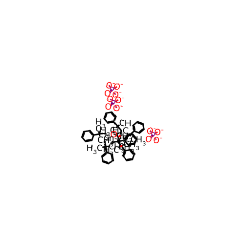 CC(C)([CH2][Sn]([CH2]C(C)(C)c1ccccc1)([CH2]C(C)(C)c1ccccc1)[O][Sn]([CH2]C(C)(C)c1ccccc1)([CH2]C(C)(C)c1ccccc1)[CH2]C(C)(C)c1ccccc1)c1ccccc1.O=P([O-])([O-])[O-].O=P([O-])([O-])[O-].O=P([O-])([O-])[O-]